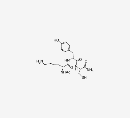 CC(=O)NC(CCCCN)C(=O)NC(Cc1ccc(O)cc1)C(=O)NC(CS)C(N)=O